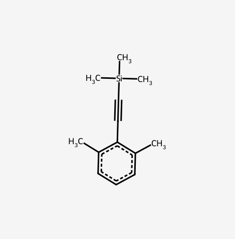 Cc1cccc(C)c1C#C[Si](C)(C)C